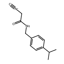 [C-]#[N+]CC(=O)NCc1ccc(C(C)C)cc1